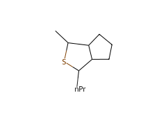 CCCC1SC(C)C2CCCC12